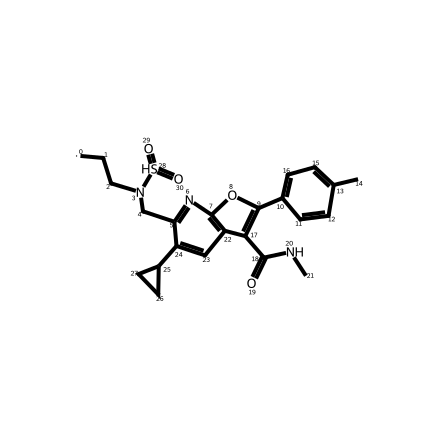 [CH2]CCN(Cc1nc2oc(-c3ccc(C)cc3)c(C(=O)NC)c2cc1C1CC1)[SH](=O)=O